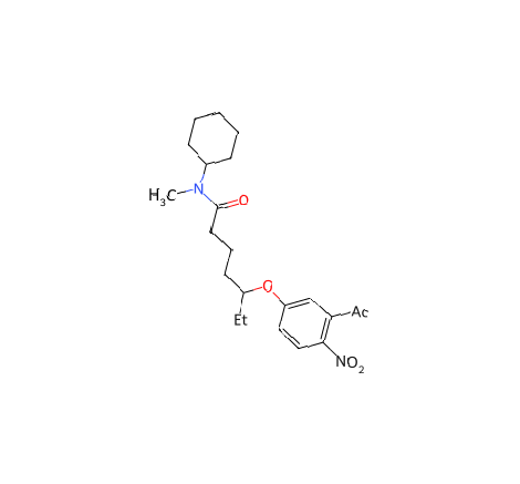 CCC(CCCC(=O)N(C)C1CCCCC1)Oc1ccc([N+](=O)[O-])c(C(C)=O)c1